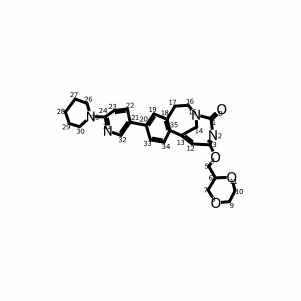 O=C1N=C(OCC2COCCO2)C=C2CN1CCc1cc(-c3ccc(N4CCCCC4)nc3)ccc12